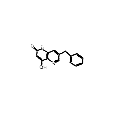 O=c1cc(O)c2ncc(Cc3ccccc3)cc2[nH]1